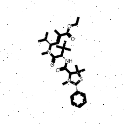 CCOC(=O)/C(C)=C/[C@H](C(C)C)N(C)C(=O)[C@@H](NC(=O)C1N(C)[C@@H](c2ccccc2)SC1(C)C)C(C)(C)C